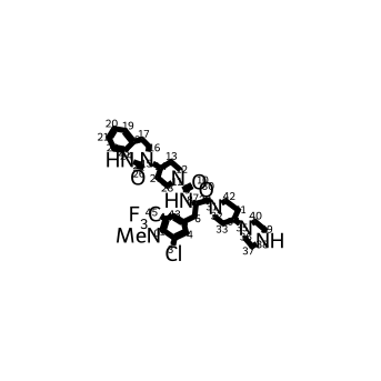 CNc1c(Cl)cc(CC(NC(=O)N2CCC(N3CCc4ccccc4NC3=O)CC2)C(=O)N2CCC(N3CCNCC3)CC2)cc1C(F)(F)F